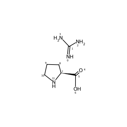 N=C(N)N.O=C(O)[C@@H]1CCCN1